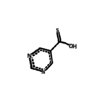 OC(=S)c1cncnc1